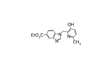 CCOC(=O)c1ccc2c(c1)ncn2Cc1nc(C)ccc1O